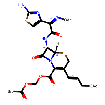 CC(=O)OC/C=C/C1=C(C(=O)OCOC(=O)C(C)(C)C)N2C(=O)[C@@H](NC(=O)/C(=N\OC(C)=O)c3csc(N)n3)[C@@H]2SC1